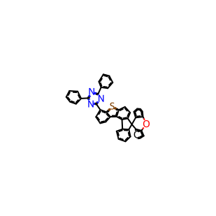 c1ccc(-c2nc(-c3ccccc3)nc(-c3cccc4c3sc3ccc5c(c34)-c3ccccc3C53c4ccccc4Oc4ccccc43)n2)cc1